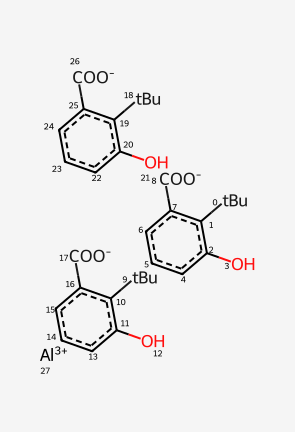 CC(C)(C)c1c(O)cccc1C(=O)[O-].CC(C)(C)c1c(O)cccc1C(=O)[O-].CC(C)(C)c1c(O)cccc1C(=O)[O-].[Al+3]